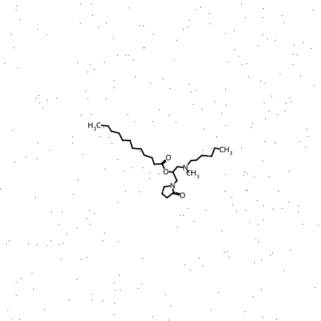 CCCCCCCCCCCC(=O)OC(CN(C)CCCCCC)CN1CCCC1=O